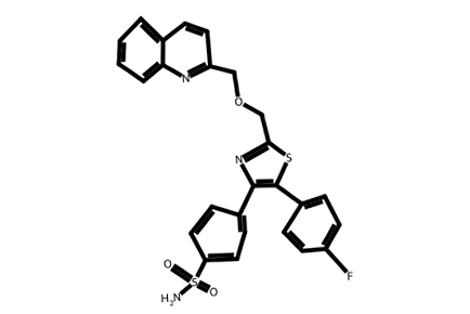 NS(=O)(=O)c1ccc(-c2nc(COCc3ccc4ccccc4n3)sc2-c2ccc(F)cc2)cc1